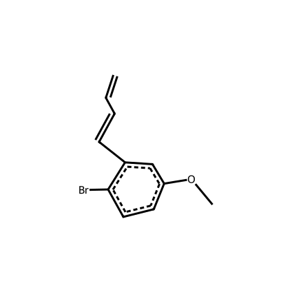 C=CC=Cc1cc(OC)ccc1Br